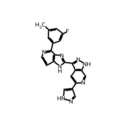 Cc1cc(F)cc(-c2nccc3[nH]c(-c4n[nH]c5cnc(-c6cn[nH]c6)cc45)nc23)c1